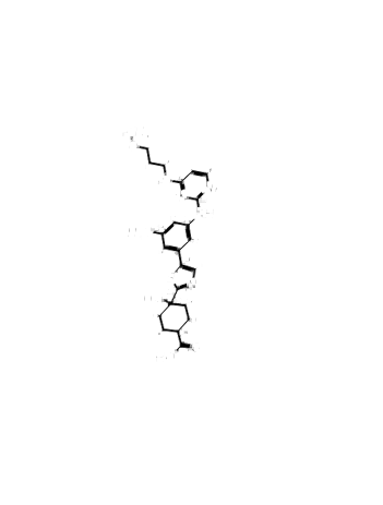 COCCCOc1ccnc(Nc2cc(C)cc(-c3cnc(C4(O)CCC(C(=O)O)CC4)s3)c2)n1